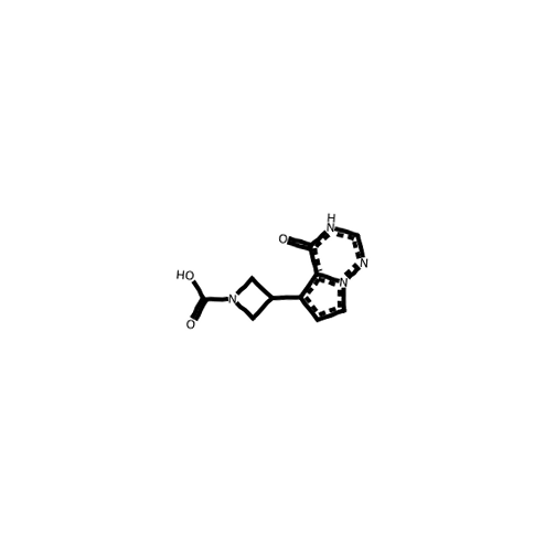 O=C(O)N1CC(c2ccn3nc[nH]c(=O)c23)C1